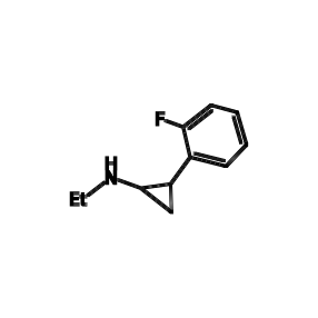 CCNC1CC1c1ccccc1F